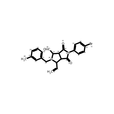 C=CC1C2C(=O)N(c3ccc(Br)cc3)C(=O)C2C(C=O)N1Cc1cccc(C)c1